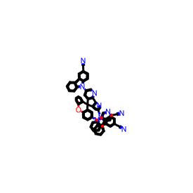 N#Cc1ccc2c(c1)c1ccccc1n2-c1cnc2c(c1)C1(c3ccccc3Oc3ccc(-n4c5ccccc5c5cc(C#N)ncc54)cc31)c1cc(-n3c4ccccc4c4cc(C#N)ccc43)cnc1-2